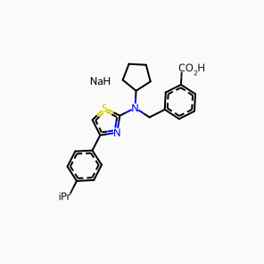 CC(C)c1ccc(-c2csc(N(Cc3cccc(C(=O)O)c3)C3CCCC3)n2)cc1.[NaH]